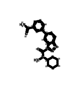 CN(C(=O)n1nnc2ccc(-c3cccc(C(N)=O)c3)cc21)C1CCCCC1